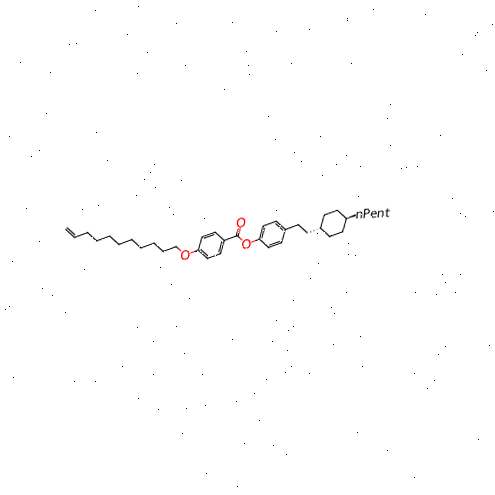 C=CCCCCCCCCCOc1ccc(C(=O)Oc2ccc(CC[C@H]3CC[C@H](CCCCC)CC3)cc2)cc1